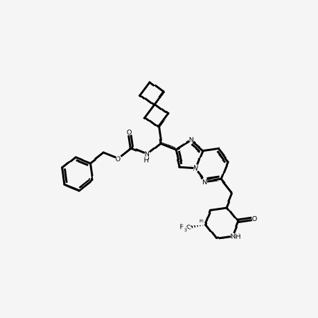 O=C(NC(c1cn2nc(CC3C[C@@H](C(F)(F)F)CNC3=O)ccc2n1)C1CC2(CCC2)C1)OCc1ccccc1